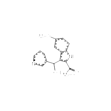 COC(=O)c1[nH]c2ccc(OC)cc2c1C(O)c1cccnc1